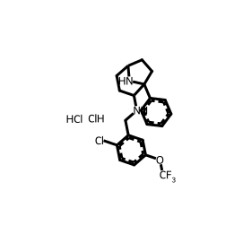 Cl.Cl.FC(F)(F)Oc1ccc(Cl)c(CNC2CCC3CCC2(c2ccccc2)N3)c1